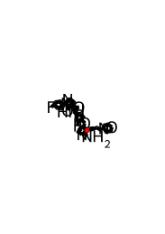 Nc1nccc(Oc2ccc(NC(=O)C3=CC=NN(c4ccc(F)cc4)C3O)cc2F)c1C#CCCN1CCOCC1